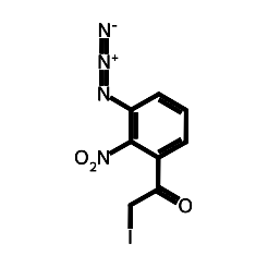 [N-]=[N+]=Nc1cccc(C(=O)CI)c1[N+](=O)[O-]